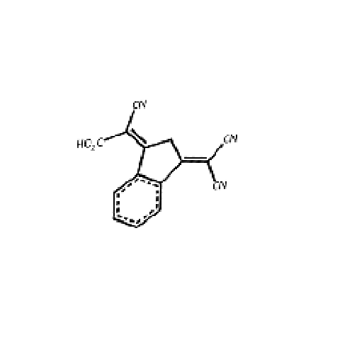 N#CC(C#N)=C1CC(=C(C#N)C(=O)O)c2ccccc21